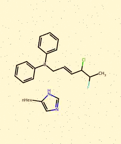 CC(F)C(Cl)C=CCB(c1ccccc1)c1ccccc1.CCCCCCc1cnc[nH]1